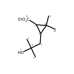 CCOC(=O)C1C(CC(C)(C)O)C1(C)C